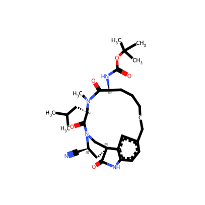 CC(C)C[C@H]1C(=O)N2C[C@]3(C[C@H]2C#N)C(=O)Nc2ccc(cc23)CCCCC[C@H](NC(=O)OC(C)(C)C)C(=O)N1C